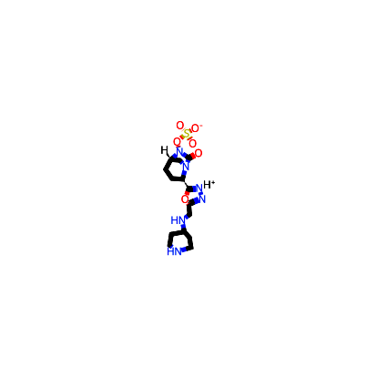 O=C1N2C[C@@H](CC[C@H]2c2nnc(CNC3CCNCC3)o2)N1OS(=O)(=O)[O-].[H+]